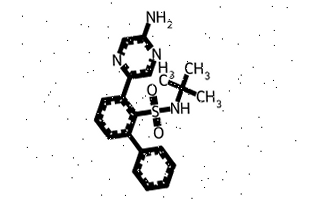 CC(C)(C)NS(=O)(=O)c1c(-c2ccccc2)cccc1-c1cnc(N)cn1